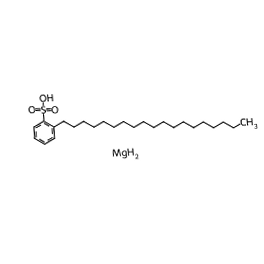 CCCCCCCCCCCCCCCCCCCc1ccccc1S(=O)(=O)O.[MgH2]